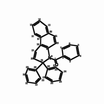 O=C(c1ccccc1)N1c2ccc3ccccc3c2C=CC1(c1ccccc1)c1ccccc1